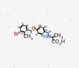 Cc1c(Br)cccc1COc1ccc(CNC(C)C(=O)O)cc1